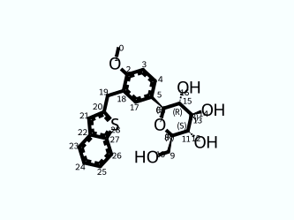 COc1ccc([C@@H]2O[C@H](CO)[C@@H](O)[C@H](O)[C@H]2O)cc1Cc1cc2ccccc2s1